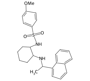 COc1ccc(S(=O)(=O)NC2CCCCC2NC(C)c2cccc3ccccc23)cc1